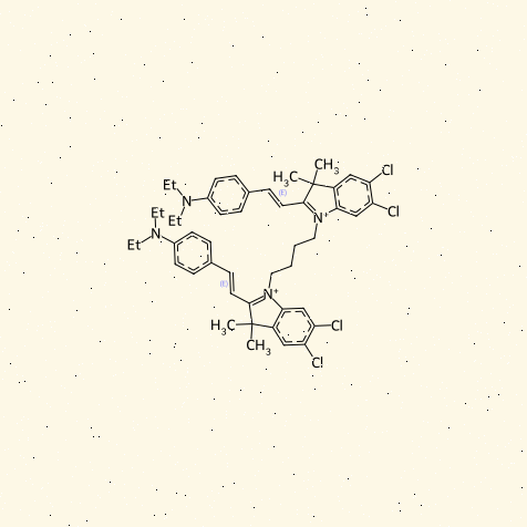 CCN(CC)c1ccc(/C=C/C2=[N+](CCCC[N+]3=C(/C=C/c4ccc(N(CC)CC)cc4)C(C)(C)c4cc(Cl)c(Cl)cc43)c3cc(Cl)c(Cl)cc3C2(C)C)cc1